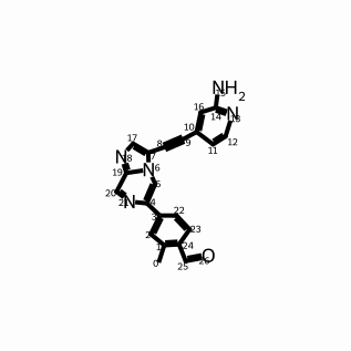 Cc1cc(-c2cn3c(C#Cc4ccnc(N)c4)cnc3cn2)ccc1C=O